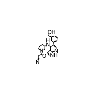 N#CCC(=O)N1CCCC(Nc2c(-c3cccc(CO)c3)cnc3[nH]ccc23)C1